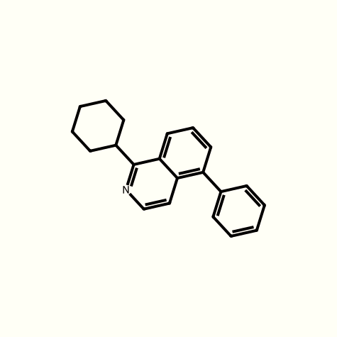 c1ccc(-c2cccc3c(C4CCCCC4)nccc23)cc1